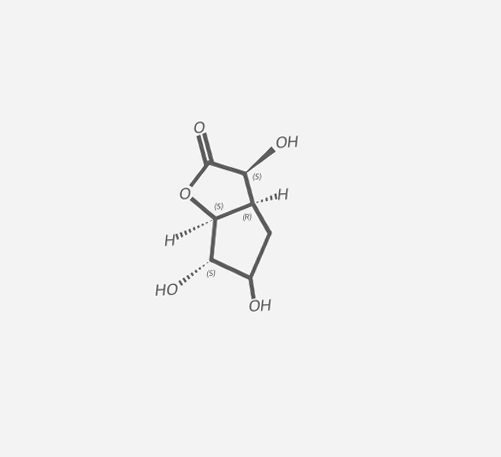 O=C1O[C@H]2[C@H](CC(O)[C@@H]2O)[C@@H]1O